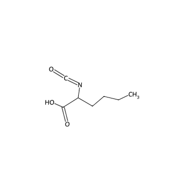 CCCCC(N=C=O)C(=O)O